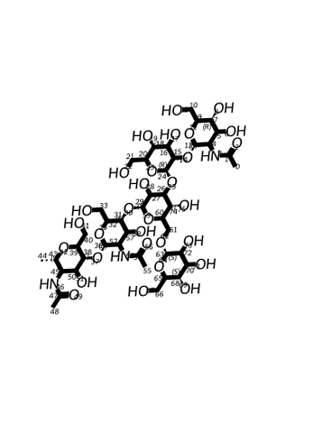 CC(=O)NC1C(O)[C@@H](O)C(CO)O[C@H]1OC1C(O)[C@H](O)C(CO)O[C@@H]1OC1C(O)[C@H](O[C@@H]2C(CO)O[C@@H](O[C@@H]3C(CO)O[C@@H](C)C(NC(C)=O)C3O)C(NC(C)=O)C2O)OC(CO[C@H]2OC(CO)[C@@H](O)C(O)C2O)[C@H]1O